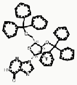 O=c1[nH]cnc2c1ncn2[C@@H]1O[C@H](COC(c2ccccc2)(c2ccccc2)c2ccccc2)[C@@H](OC(c2ccccc2)(c2ccccc2)c2ccccc2)[C@@H]1F